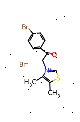 Cc1sc[n+](CC(=O)c2ccc(Br)cc2)c1C.[Br-]